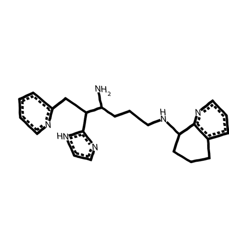 NC(CCCNC1CCCc2cccnc21)C(Cc1ccccn1)c1ncc[nH]1